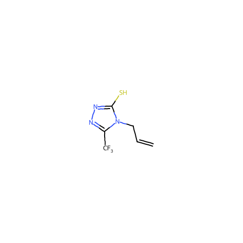 C=CCn1c(S)nnc1C(F)(F)F